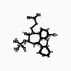 CCN(CC)CCN1C(=O)CN=C(c2ccccc2F)c2cc(Cl)ccc21.O=P(O)(O)O